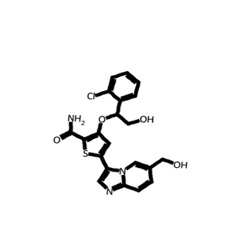 NC(=O)c1sc(-c2cnc3ccc(CO)cn23)cc1OC(CO)c1ccccc1Cl